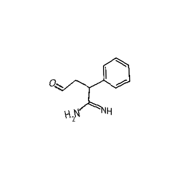 N=C(N)C(CC=O)c1ccccc1